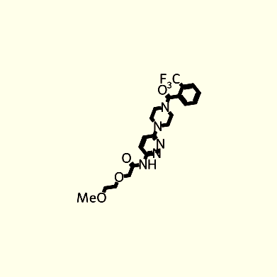 COCCOCC(=O)Nc1ccc(N2CCN(C(=O)c3ccccc3C(F)(F)F)CC2)nn1